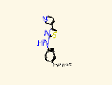 CCCCCc1ccc(Nc2nc(-c3cccnc3)cs2)cc1